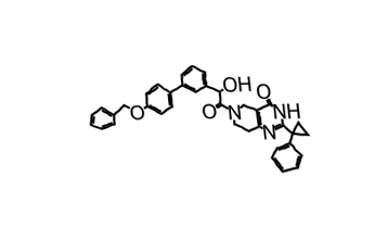 O=C([C@H](O)c1cccc(-c2ccc(OCc3ccccc3)cc2)c1)N1CCc2nc(C3(c4ccccc4)CC3)[nH]c(=O)c2C1